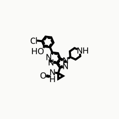 O=CNC1(c2nn(C3CCNCC3)c3cc(-c4cccc(Cl)c4O)nnc23)CC1